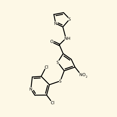 O=C(Nc1nccs1)c1cc([N+](=O)[O-])c(Sc2c(Cl)cncc2Cl)s1